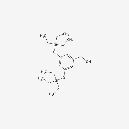 CC[Si](CC)(CC)Oc1cc(CO)cc(O[Si](CC)(CC)CC)c1